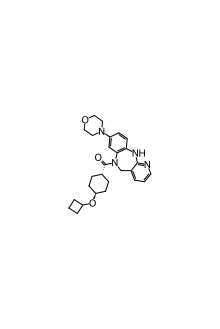 O=C([C@H]1CC[C@H](OC2CCC2)CC1)N1Cc2cccnc2Nc2ccc(N3CCOCC3)cc21